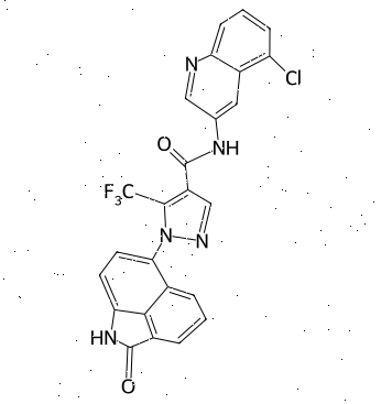 O=C(Nc1cnc2cccc(Cl)c2c1)c1cnn(-c2ccc3c4c(cccc24)C(=O)N3)c1C(F)(F)F